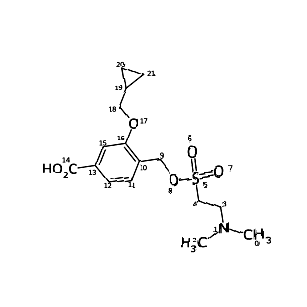 CN(C)CCS(=O)(=O)OCc1ccc(C(=O)O)cc1OCC1CC1